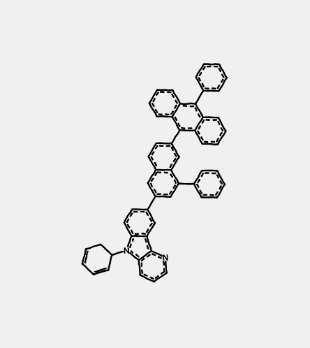 C1=CCC(n2c3ccc(-c4cc(-c5ccccc5)c5cc(-c6c7ccccc7c(-c7ccccc7)c7ccccc67)ccc5c4)cc3c3ncccc32)C=C1